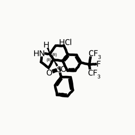 Cl.O=S(=O)(c1ccccc1)[C@@]12CCN[C@@H]1CCc1cc(C(F)(C(F)(F)F)C(F)(F)F)ccc12